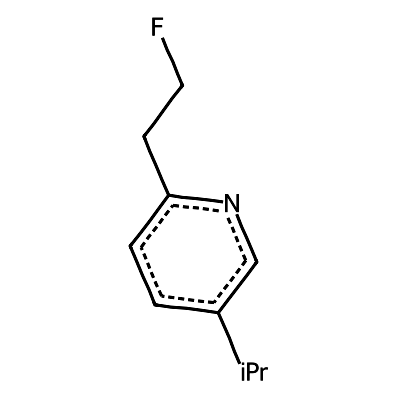 CC(C)c1ccc(CCF)nc1